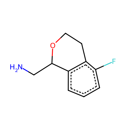 NCC1OCCc2c(F)cccc21